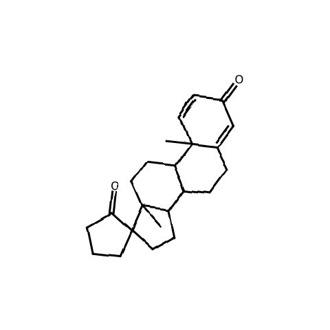 CC12C=CC(=O)C=C1CCC1C2CCC2(C)C1CCC21CCCC1=O